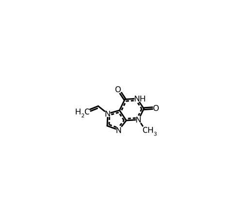 C=Cn1cnc2c1c(=O)[nH]c(=O)n2C